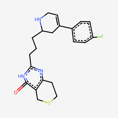 O=c1[nH]c(CCCC2CC(c3ccc(F)cc3)=CCN2)nc2c1CSCC2